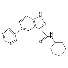 O=C(NC1CCCCC1)c1n[nH]c2ccc(-c3cncnc3)cc12